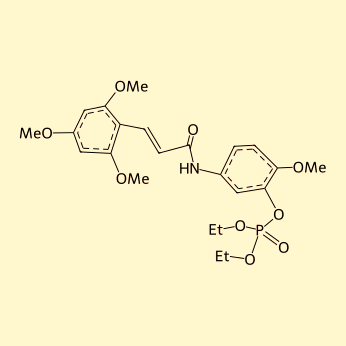 CCOP(=O)(OCC)Oc1cc(NC(=O)C=Cc2c(OC)cc(OC)cc2OC)ccc1OC